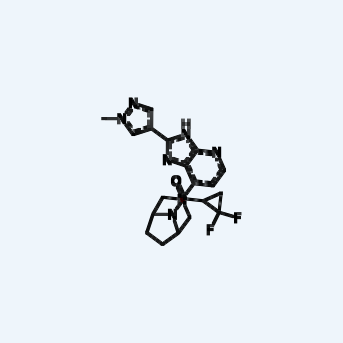 Cn1cc(-c2nc3c(N4CC5CCC(C4)N5C(=O)C4CC4(F)F)ccnc3[nH]2)cn1